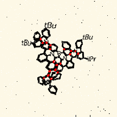 CC(C)c1ccc2c(c1)c1cc(C(C)(C)C)ccc1n2-c1ccc2c(c1)N(c1c(C3=CC=CS4(=CC=CCC4)=C3)cccc1C1=CC(C3=CCCC=C3)=CCC1)c1cc(-c3ccc4c(c3)c3ccccc3n4-c3ccccc3)cc3c1B2c1ccc(-n2c4ccc(C(C)(C)C)cc4c4cc(C(C)(C)C)ccc42)cc1N3C1=C(c2cccc(-c3ccccc3)c2)CCC=C1C1=CC(c2ccccc2)=CCC1